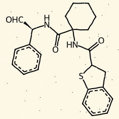 O=C[C@@H](NC(=O)C1(NC(=O)C2Cc3ccccc3S2)CCCCC1)c1ccccc1